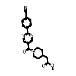 COC(=O)CC1CCN(C(=O)c2cnc(-c3ccc(C#N)cc3)nc2)CC1